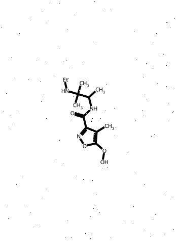 CCNC(C)(C)C(C)NC(=O)c1noc(OO)c1C